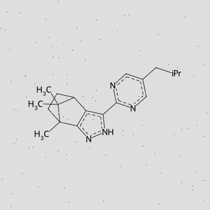 CC(C)Cc1cnc(-c2[nH]nc3c2C2CCC3(C)C2(C)C)nc1